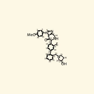 COc1ccc(-n2cnc3c2C(=O)C(c2ccc(-c4ccccc4CN4CC[C@H](O)C4)cc2F)NC3)cc1